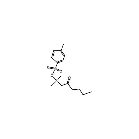 CCCCC(=O)CS(C)(C)OS(=O)(=O)c1ccc(C)cc1